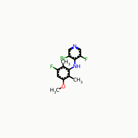 COc1cc(F)c(C)c(Nc2c(F)cncc2Br)c1C